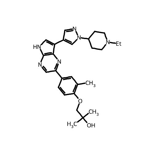 CCN1CCC(n2cc(-c3c[nH]c4ncc(-c5ccc(OCC(C)(C)O)c(C)c5)nc34)cn2)CC1